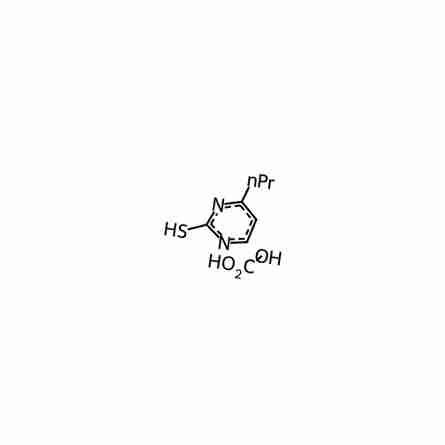 CCCc1ccnc(S)n1.O=C(O)O